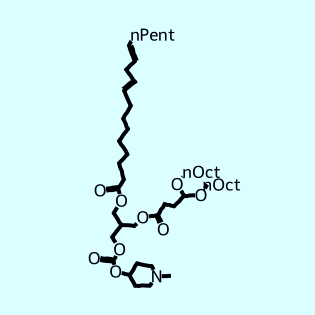 CCCCCC=CCC=CCCCCCCCC(=O)OCC(COC(=O)CCC(OCCCCCCCC)OCCCCCCCC)COC(=O)OC1CCN(C)CC1